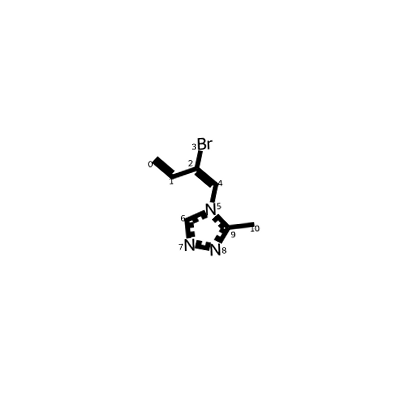 C=C/C(Br)=C\n1cnnc1C